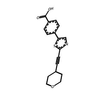 O=C(O)c1ccc(-c2cnc(C#CC3CCOCC3)s2)cc1